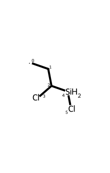 [CH2]CC(Cl)[SiH2]Cl